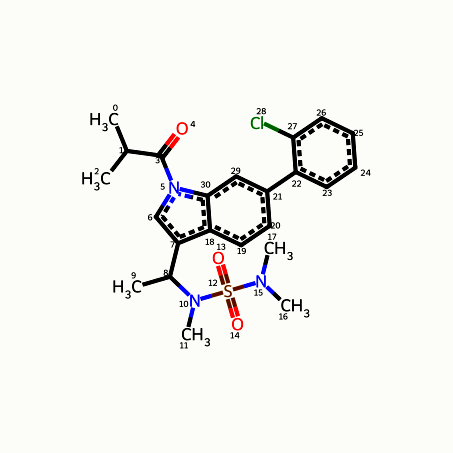 CC(C)C(=O)n1cc(C(C)N(C)S(=O)(=O)N(C)C)c2ccc(-c3ccccc3Cl)cc21